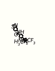 Cn1nc(C(F)(F)F)cc1-c1ccc(C(=O)Nc2ccc3scnc3c2)cc1[N+](=O)[O-]